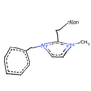 CCCCCCCCCCc1n(Cc2ccccc2)cc[n+]1C